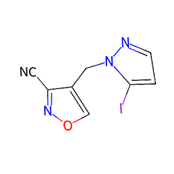 N#Cc1nocc1Cn1nccc1I